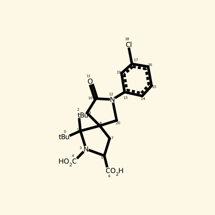 CC(C)(C)C1(C(C)(C)C)N(C(=O)O)C(C(=O)O)CC12CC(=O)N(c1cccc(Cl)c1)C2